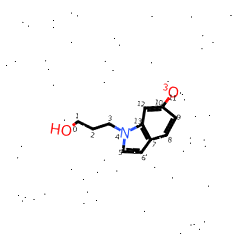 OCCCn1ccc2ccc([3O])cc21